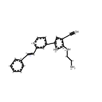 C#Cc1cc(-c2ccnc(/C=C/c3ccccc3)c2)[nH]c1NCCN